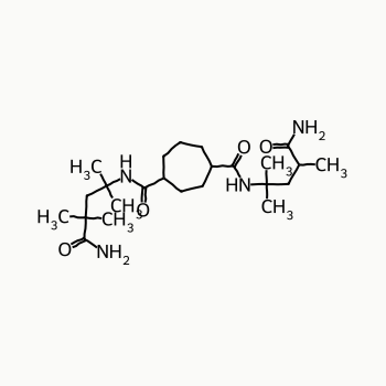 CC(CC(C)(C)NC(=O)C1CCCC(C(=O)NC(C)(C)CC(C)(C)C(N)=O)CC1)C(N)=O